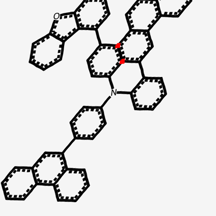 c1ccc(N(c2ccc(-c3cc4ccccc4c4ccccc34)cc2)c2ccc(-c3cccc4oc5ccccc5c34)cc2)c(-c2ccc3ccc4ccccc4c3c2)c1